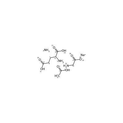 CC(=O)O.N.NC(CCC(=O)O)C(=O)O.NCC(=O)[O-].[Na+]